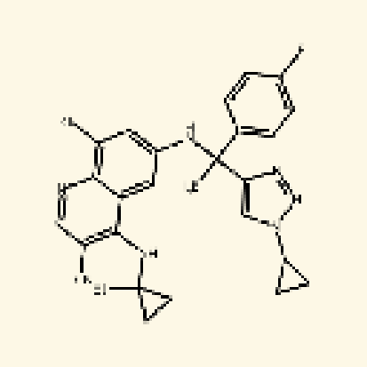 BC(Nc1cc(Cl)c2ncc(C#N)c(NC3(CC)CC3)c2c1)(c1ccc(F)cc1)c1cn(C2CC2)nn1